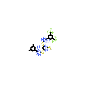 CSc1nc(Sc2nnc(-c3cc(C)cc(C)c3)[nH]2)cc(Sc2nnc(-c3cc(C(F)(F)F)cc(C(F)(F)F)c3)[nH]2)n1